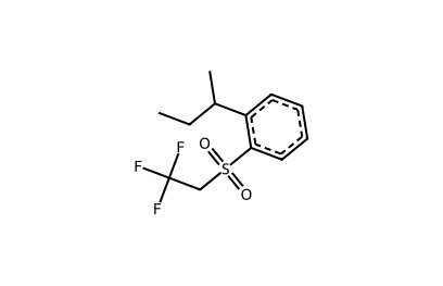 CCC(C)c1ccccc1S(=O)(=O)CC(F)(F)F